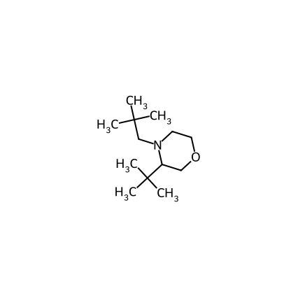 CC(C)(C)CN1CCOCC1C(C)(C)C